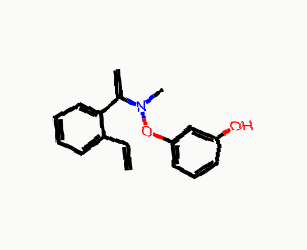 C=Cc1ccccc1C(=C)N(C)Oc1cccc(O)c1